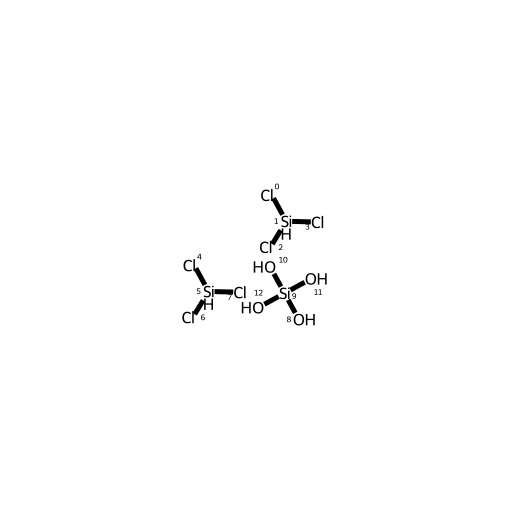 Cl[SiH](Cl)Cl.Cl[SiH](Cl)Cl.O[Si](O)(O)O